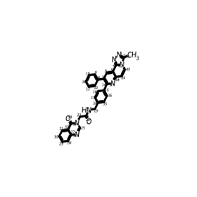 Cc1nnc2c3cc(-c4ccccc4)c(-c4ccc(CNC(=O)Cn5cnc6ccccc6c5=O)cc4)nc3ccn12